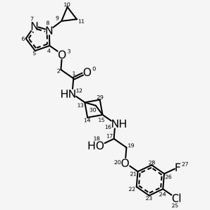 O=C(COc1ccnn1C1CC1)NC12CC(NC(O)COc3ccc(Cl)c(F)c3)(C1)C2